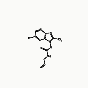 C=CCNC(=O)On1c(C(F)(F)F)nc2ncc(Cl)cc21